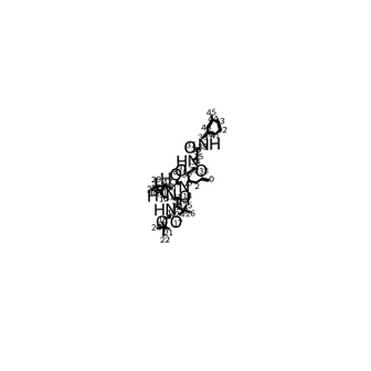 C=CCC(NC(=O)[C@@H]1[C@@H]2[C@H](CN1C(=O)[C@@H](NC(=O)OC(C)(C)C)C(C)(C)C)C2(C)C)C(=O)C(=O)NCC(=O)NCc1cccc(C)c1